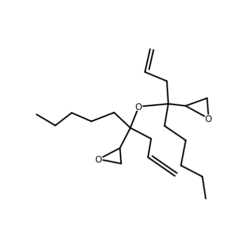 C=CCC(CCCCC)(OC(CC=C)(CCCCC)C1CO1)C1CO1